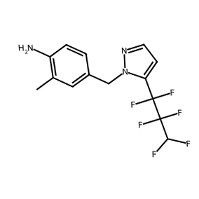 Cc1cc(Cn2nccc2C(F)(F)C(F)(F)C(F)F)ccc1N